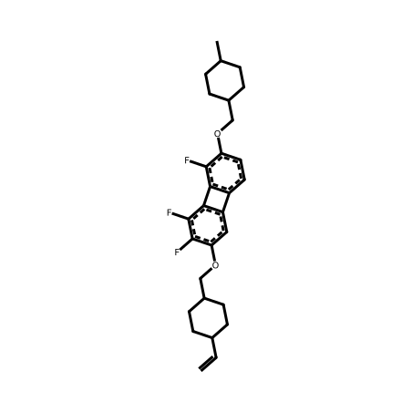 C=CC1CCC(COc2cc3c(c(F)c2F)-c2c-3ccc(OCC3CCC(C)CC3)c2F)CC1